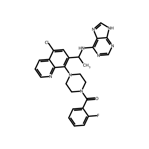 CC(Nc1ncnc2[nH]cnc12)c1cc(Cl)c2cccnc2c1N1CCN(C(=O)c2ccccc2F)CC1